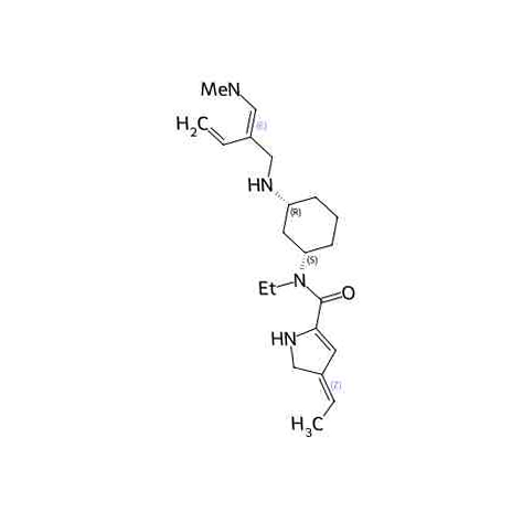 C=C/C(=C\NC)CN[C@@H]1CCC[C@H](N(CC)C(=O)C2=C/C(=C/C)CN2)C1